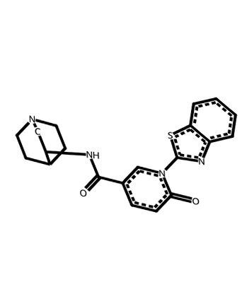 O=C(NC1CN2CCC1CC2)c1ccc(=O)n(-c2nc3ccccc3s2)c1